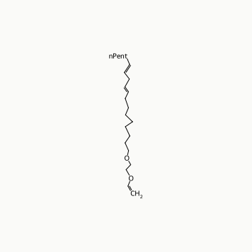 C=COCCOCCCCCCCCC=CCC=CCCCCC